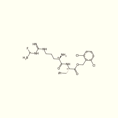 BP(F)NC(=N)NCCC[C@@H](N)C(=O)N[C@@H](CC(C)C)C(=O)OCc1c(Cl)cccc1Cl